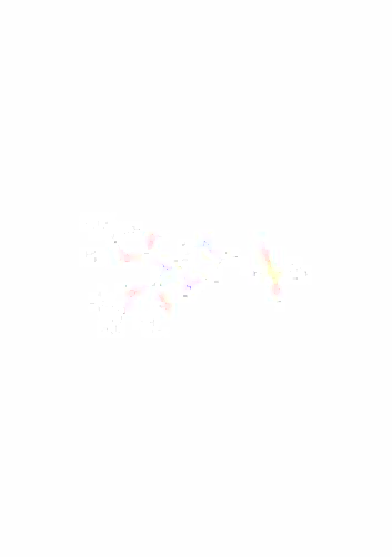 CC(C)(C)OC(=O)N(C(=O)OC(C)(C)C)c1cnc(CCS(C)(=O)=O)cn1